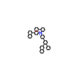 c1ccc(-c2ccc(-c3ccc(N(c4ccc(-c5cccc6ccccc56)cc4)c4ccccc4-c4ccccc4)cc3)cc2-c2ccc3ccccc3c2)cc1